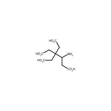 NC(CC(=O)O)C(CC(=O)O)(CC(=O)O)CC(=O)O